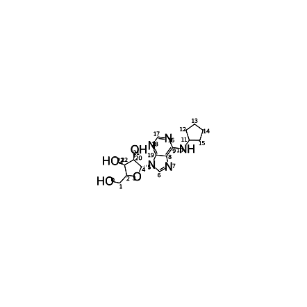 OCC1O[C@@H](n2cnc3c(NC4CCCC4)ncnc32)[C@H](O)[C@@H]1O